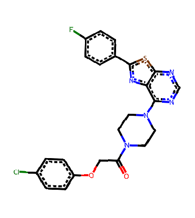 O=C(COc1ccc(Cl)cc1)N1CCN(c2ncnc3sc(-c4ccc(F)cc4)nc23)CC1